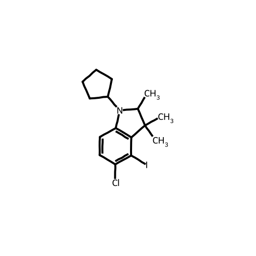 CC1N(C2CCCC2)c2ccc(Cl)c(I)c2C1(C)C